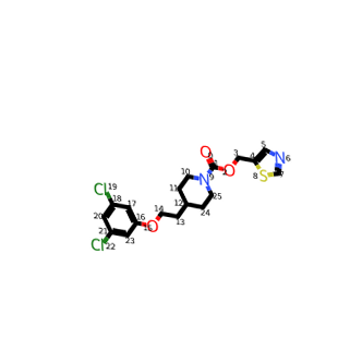 O=C(OCc1cncs1)N1CCC(CCOc2cc(Cl)cc(Cl)c2)CC1